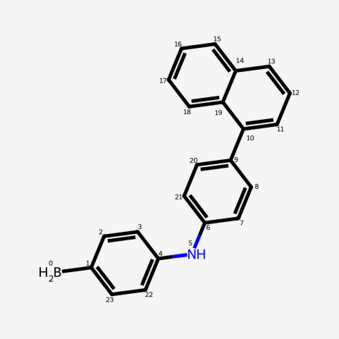 Bc1ccc(Nc2ccc(-c3cccc4ccccc34)cc2)cc1